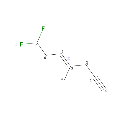 C#C[CH]/C(C)=C/CC(F)F